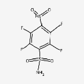 NS(=O)(=O)c1c(F)c(F)c([SH](=O)=O)c(F)c1F